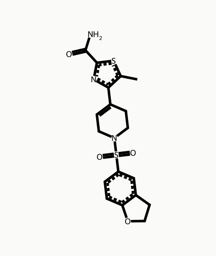 Cc1sc(C(N)=O)nc1C1=CCN(S(=O)(=O)c2ccc3c(c2)CCO3)CC1